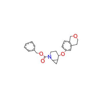 O=C(OCc1ccccc1)N1CCC(Oc2ccc3c(c2)CCOC3)C2CC21